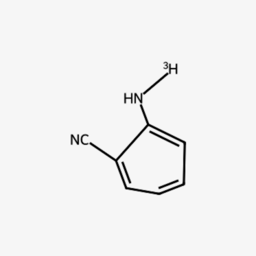 [3H]Nc1ccccc1C#N